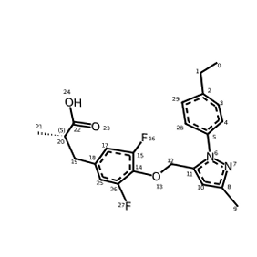 CCc1ccc(-n2nc(C)cc2COc2c(F)cc(C[C@H](C)C(=O)O)cc2F)cc1